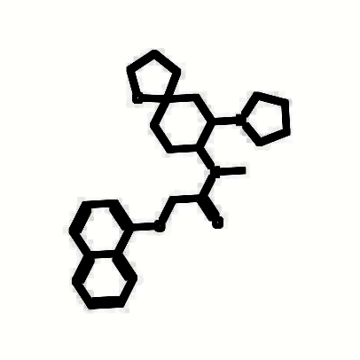 CN(C(=O)COc1cccc2ccccc12)C1CCC2(CCCO2)CC1N1CCCC1